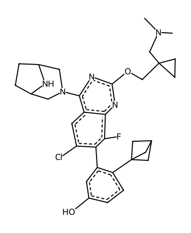 CN(C)CC1(COc2nc(N3CC4CCC(C3)N4)c3cc(Cl)c(-c4cc(O)ccc4C45CC(C4)C5)c(F)c3n2)CC1